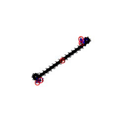 O=[N+]([O-])c1ccccc1CCCCCCCCCCCCCCOCCCCCCCCCCCCCCc1ccccc1[N+](=O)[O-]